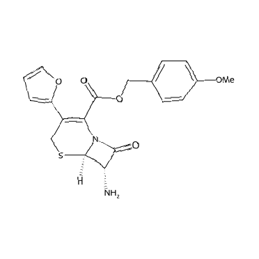 COc1ccc(COC(=O)C2=C(c3ccco3)CS[C@@H]3[C@@H](N)C(=O)N23)cc1